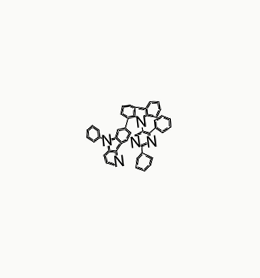 c1ccc(-c2ncc(-n3c4ccccc4c4cccc(-c5ccc6c7ncccc7n(-c7ccccc7)c6c5)c43)c(-c3ccccc3)n2)cc1